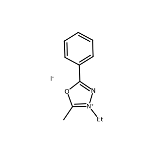 CC[n+]1nc(-c2ccccc2)oc1C.[I-]